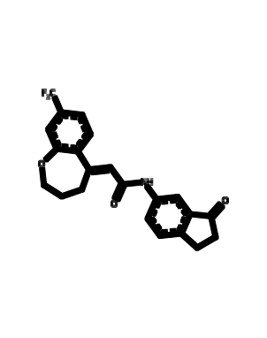 O=C(/C=C1\CCCOc2cc(C(F)(F)F)ccc21)Nc1ccc2c(c1)C(=O)CC2